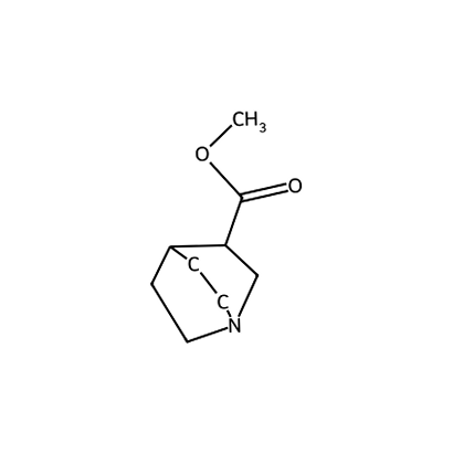 COC(=O)C1CN2CCC1CC2